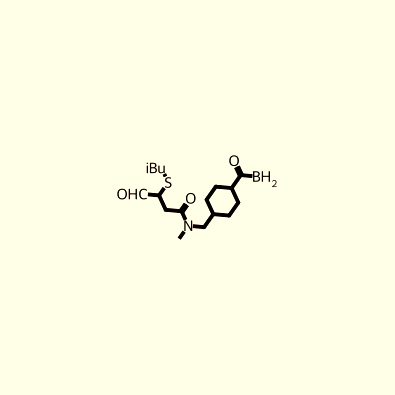 BC(=O)C1CCC(CN(C)C(=O)CC(C=O)SC(C)CC)CC1